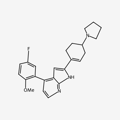 COc1ccc(F)cc1-c1ccnc2[nH]c(C3=CCC(N4CCCC4)CC3)cc12